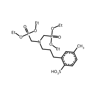 CCOP(=O)(CN(CCCc1cc(C)ccc1S(=O)(=O)O)CP(=O)(OCC)OCC)OCC